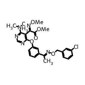 CON=C(C(=O)OC)c1c(Oc2cccc(C(C)=NOCc3cccc(Cl)c3)c2)ncnc1N(C)C